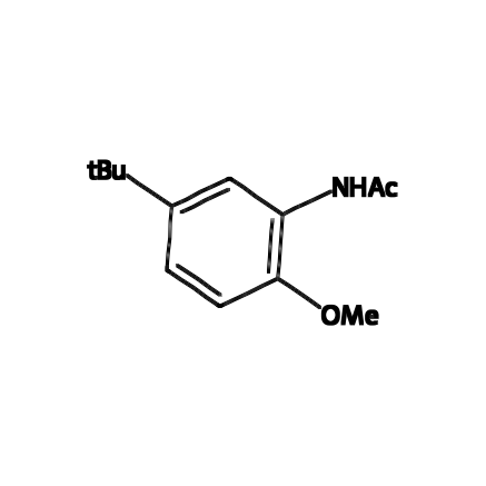 COc1ccc(C(C)(C)C)cc1NC(C)=O